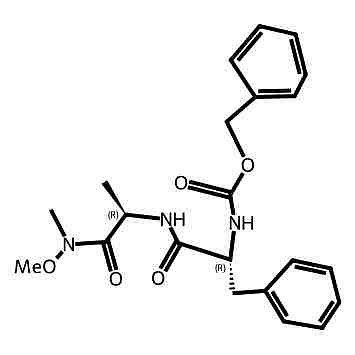 CON(C)C(=O)[C@@H](C)NC(=O)[C@@H](Cc1ccccc1)NC(=O)OCc1ccccc1